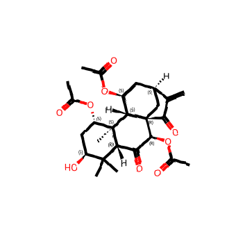 C=C1C(=O)[C@]23C[C@H]1C[C@H](OC(C)=O)[C@H]2[C@]1(C)[C@@H](OC(C)=O)C[C@H](O)C(C)(C)[C@H]1C(=O)[C@@H]3OC(C)=O